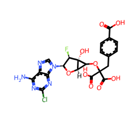 Nc1nc(Cl)nc2c1ncn2[C@@H]1O[C@@H]2C(OC(Cc3ccc(C(=O)O)cc3)(C(=O)O)C(=O)O)[C@]2(O)[C@@H]1F